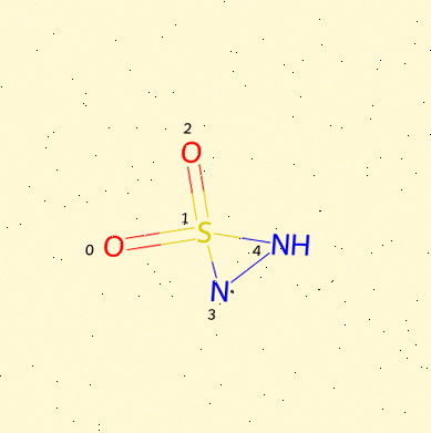 O=S1(=O)[N]N1